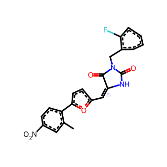 Cc1cc([N+](=O)[O-])ccc1-c1ccc(/C=C2/NC(=O)N(Cc3ccccc3F)C2=O)o1